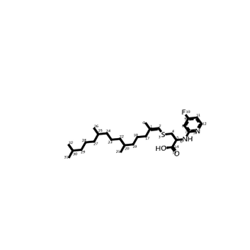 CC(=CSCC(Nc1cc(F)ccn1)C(=O)O)CCCC(C)CCCC(C)CCCC(C)C